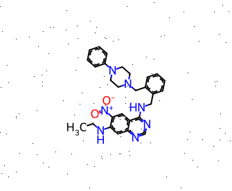 CCNc1cc2ncnc(NCc3ccccc3CN3CCN(c4ccccc4)CC3)c2cc1[N+](=O)[O-]